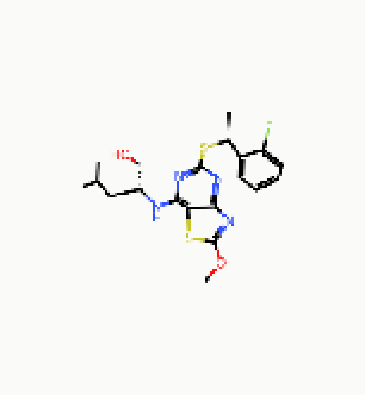 COc1nc2nc(S[C@@H](C)c3ccccc3F)nc(N[C@@H](CO)CC(C)C)c2s1